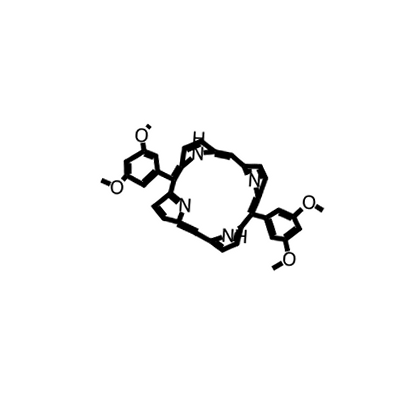 COc1cc(OC)cc(-c2c3nc(cc4ccc([nH]4)c(-c4cc(OC)cc(OC)c4)c4nc(cc5ccc2[nH]5)C=C4)C=C3)c1